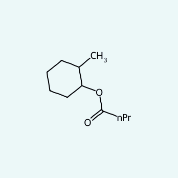 CCCC(=O)OC1CCCCC1C